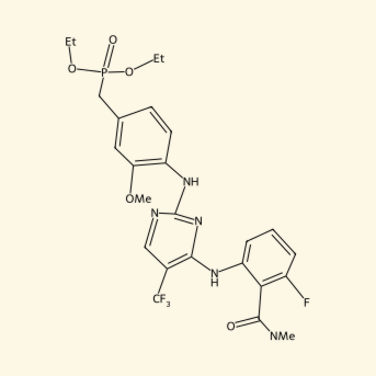 CCOP(=O)(Cc1ccc(Nc2ncc(C(F)(F)F)c(Nc3cccc(F)c3C(=O)NC)n2)c(OC)c1)OCC